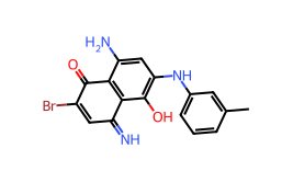 Cc1cccc(Nc2cc(N)c3c(c2O)C(=N)C=C(Br)C3=O)c1